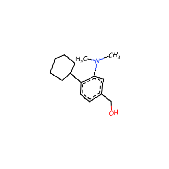 CN(C)c1cc(CO)ccc1C1CCCCC1